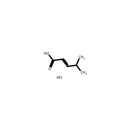 CC(C)C=CC(=O)O.Cl